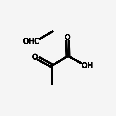 CC(=O)C(=O)O.CC=O